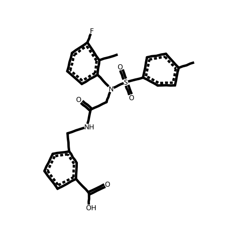 Cc1ccc(S(=O)(=O)N(CC(=O)NCc2cccc(C(=O)O)c2)c2cccc(F)c2C)cc1